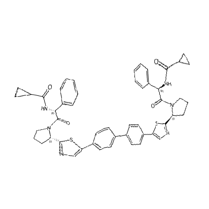 O=C(N[C@@H](C(=O)N1CCC[C@H]1c1ncc(-c2ccc(-c3ccc(-c4cnc([C@@H]5CCCN5C(=O)[C@H](NC(=O)C5CC5)c5ccccc5)s4)cc3)cc2)s1)c1ccccc1)C1CC1